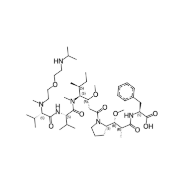 CC[C@H](C)[C@@H]([C@@H](CC(=O)N1CCC[C@H]1[C@H](OC)[C@@H](C)C(=O)N[C@@H](Cc1ccccc1)C(=O)O)OC)N(C)C(=O)[C@@H](NC(=O)[C@H](C(C)C)N(C)CCOCCNC(C)C)C(C)C